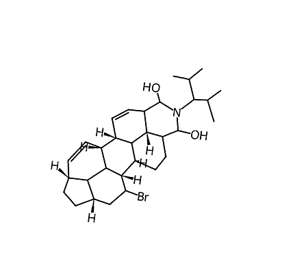 CC(C)C(C(C)C)N1C(O)C2C=C[C@@H]3C4[C@H]2C(CC[C@@H]4[C@@H]2C(Br)C[C@@H]4CC[C@@H]5C=C[C@H]3C2C45)C1O